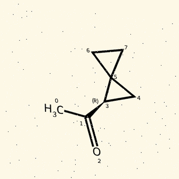 CC(=O)[C@@H]1CC12CC2